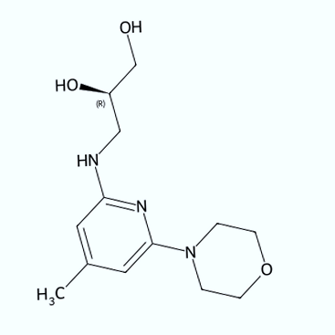 Cc1cc(NC[C@@H](O)CO)nc(N2CCOCC2)c1